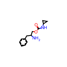 NC(COC(=O)NC1CC1)Cc1ccccc1